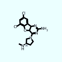 CN[C@@H]1CCN(C2=NC(N)=NC3c4cc(Cl)cc(Cl)c4OC23)C1